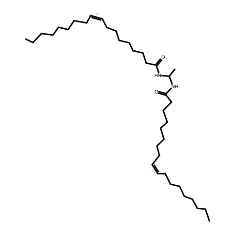 CCCCCCCC/C=C\CCCCCCCC(=O)NC(C)NC(=O)CCCCCCC/C=C\CCCCCCCC